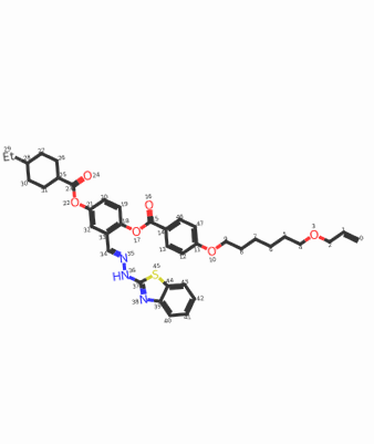 C=CCOCCCCCCOc1ccc(C(=O)Oc2ccc(OC(=O)C3CCC(CC)CC3)cc2C=NNc2nc3ccccc3s2)cc1